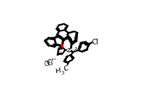 Cc1ccc([C](c2ccc(Cl)cc2)=[Zr+2]([c]2cccc3c2c2c(c4ccccc43)-c3ccccc3C2)[CH]2C=CC=C2)cc1.[Cl-].[Cl-]